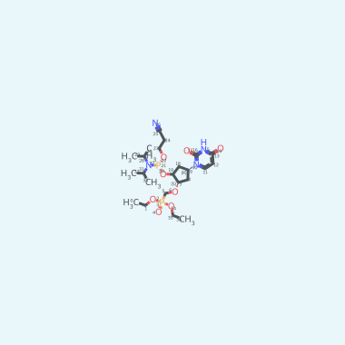 CCOP(=O)(CO[C@H]1C[C@@H](n2ccc(=O)[nH]c2=O)CC1OP(OCCC#N)N(C(C)C)C(C)C)OCC